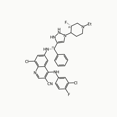 CCN1CCC(N2C=C([C@@H](Nc3cc(Cl)c4ncc(C#N)c(Nc5ccc(F)c(Cl)c5)c4c3)c3ccccc3)NN2)[C@H](F)C1